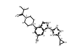 CC(C)C(=O)N1CCN(c2cc(Br)cc3c2cnn3-c2nnc(C3CC3)s2)CC1